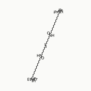 CC[N+](CCCCCCCCCCCCCCCC(=O)NCCCCCCSSCCCCCCNC(=O)CCCCCCCCCCCCCCC[N+](CC)(C(C)C)C(C)C)(C(C)C)C(C)C